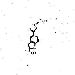 CCOC(=O)NCC(=O)c1ccc2c(c1)CC(C(=O)OCC)O2